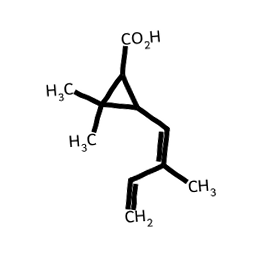 C=CC(C)=CC1C(C(=O)O)C1(C)C